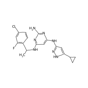 CC(Nc1cc(Nc2cc(C3CC3)[nH]n2)nc(N)n1)c1ccc(Cl)cc1F